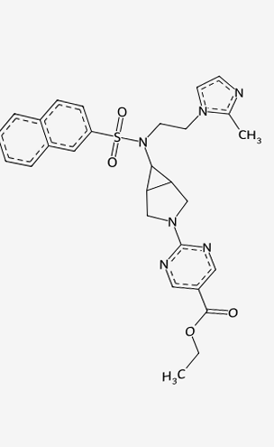 CCOC(=O)c1cnc(N2CC3C(C2)C3N(CCn2ccnc2C)S(=O)(=O)c2ccc3ccccc3c2)nc1